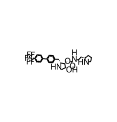 O=C(NCC[C@H]1CCCN1)O[C@@H]1[C@@H](O)CN[C@@H]1Cc1ccc(-c2ccc(S(F)(F)(F)(F)F)cc2)cc1